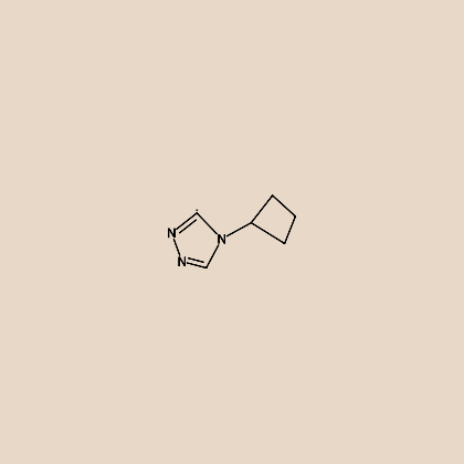 [c]1nncn1C1CCC1